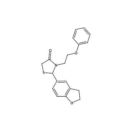 O=C1CSC(c2ccc3c(c2)CCO3)N1CCOc1ccccc1